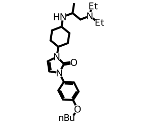 CCCCOc1ccc(-n2ccn(C3CCC(NC(C)CN(CC)CC)CC3)c2=O)cc1